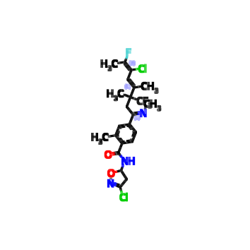 C/N=C(\CC(C)(/C(C)=C/C(Cl)=C(\C)F)C(F)(F)F)c1ccc(C(=O)NC2CC(Cl)=NO2)c(C)c1